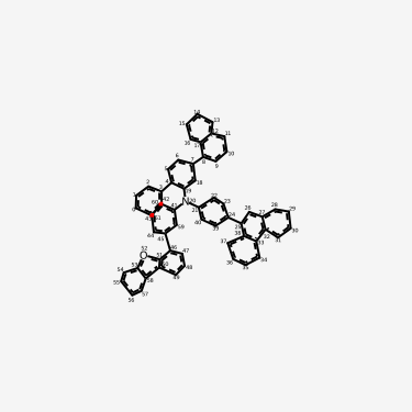 c1ccc(-c2ccc(-c3cccc4ccccc34)cc2N(c2ccc(-c3cc4ccccc4c4ccccc34)cc2)c2cccc(-c3cccc4c3oc3ccccc34)c2)cc1